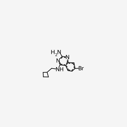 Nc1nc(NCC2CCC2)c2ccc(Br)cc2n1